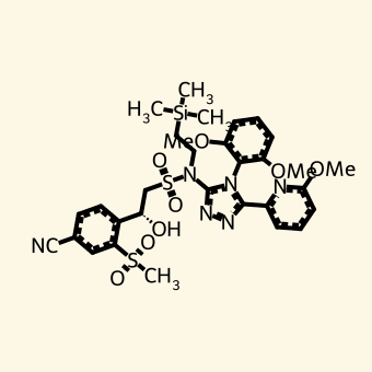 COc1cccc(-c2nnc(N(CC[Si](C)(C)C)S(=O)(=O)C[C@H](O)c3ccc(C#N)cc3S(C)(=O)=O)n2-c2c(OC)cccc2OC)n1